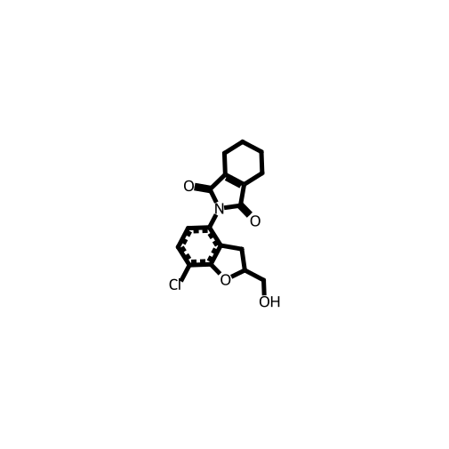 O=C1C2=C(CCCC2)C(=O)N1c1ccc(Cl)c2c1CC(CO)O2